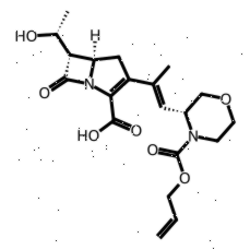 C=CCOC(=O)N1CCOC[C@H]1/C=C(\C)C1=C(C(=O)O)N2C(=O)[C@H]([C@@H](C)O)[C@H]2C1